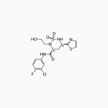 O=C(Nc1ccc(F)c(Cl)c1)[C@@H]1C[C@H](c2nccs2)NS(=O)(=O)N1CCO